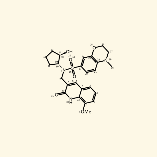 COc1cccc2cc(CN([C@@H]3CCC[C@H]3O)S(=O)(=O)c3ccc4c(c3)OCCN4C)c(=O)[nH]c12